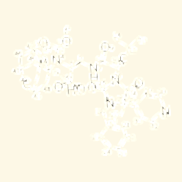 COC(=O)N([C@@H](CNC(=O)C(CC(C)C)N1C(=O)N(Cc2ccccc2)C(C)(c2ccncc2)C1=O)C(=O)O)C12CC3CC(CC(C3)C1)C2